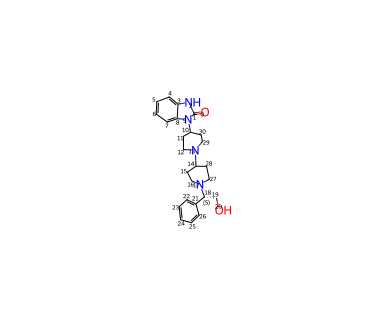 O=c1[nH]c2ccccc2n1C1CCN(C2CCN([C@H](CO)c3ccccc3)CC2)CC1